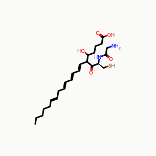 CCCCCC=CCC=CC=CC=CC(C(=O)[C@H](CS)NC(=O)CN)C(O)CCCC(=O)O